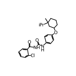 CC(C)C1(C)CCCC(Oc2ccc(NC(=O)NC(=O)c3ccccc3Cl)cc2)C1